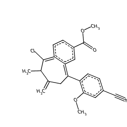 C=C1CC(c2ccc(C#N)cc2OC)=c2cc(C(=O)OC)ccc2=C(Cl)C1C